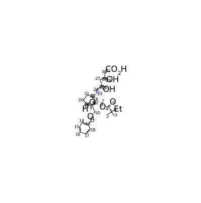 CCC(C)(C)C(=O)OC[C@@H]1C(COCc2ccccc2)[C@H]2CC[C@]1(/C=C/[C@H](O)C[C@H](O)CC(=O)O)O2